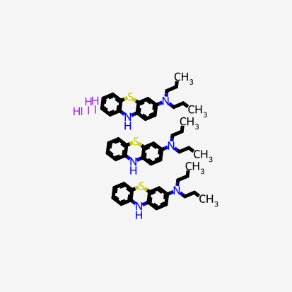 CCCN(CCC)c1ccc2c(c1)Sc1ccccc1N2.CCCN(CCC)c1ccc2c(c1)Sc1ccccc1N2.CCCN(CCC)c1ccc2c(c1)Sc1ccccc1N2.I.I.I